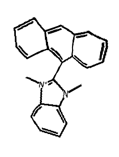 Cn1c(-c2c3ccccc3cc3ccccc23)[n+](C)c2ccccc21